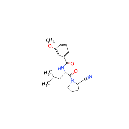 COc1cccc(C(=O)N[C@@H](CC(C)C)C(=O)N2CCCC2C#N)c1